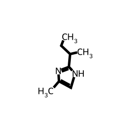 CCC(C)c1nc(C)c[nH]1